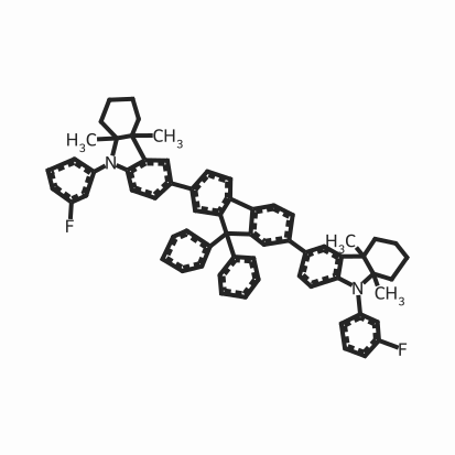 CC12CCCCC1(C)N(c1cccc(F)c1)c1ccc(-c3ccc4c(c3)C(c3ccccc3)(c3ccccc3)c3cc(-c5ccc6c(c5)C5(C)CCCCC5(C)N6c5cccc(F)c5)ccc3-4)cc12